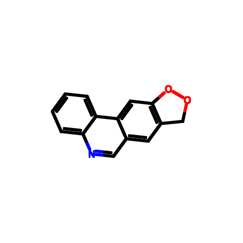 c1ccc2c(c1)ncc1cc3c(cc12)OOC3